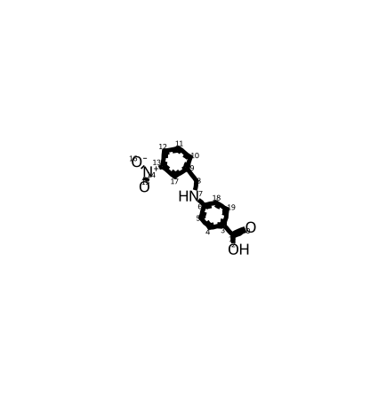 O=C(O)c1ccc(NCc2cccc([N+](=O)[O-])c2)cc1